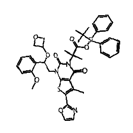 COc1ccccc1C(Cn1c(=O)n(C(C)(C)C(=O)O[Si](c2ccccc2)(c2ccccc2)C(C)(C)C)c(=O)c2c(C)c(-c3ncco3)sc21)OC1COC1